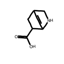 O=C(O)C1CC2C=CC1NC2